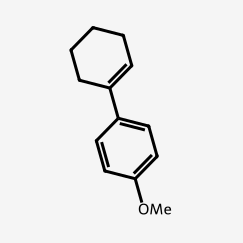 COc1ccc(C2=CCCCC2)cc1